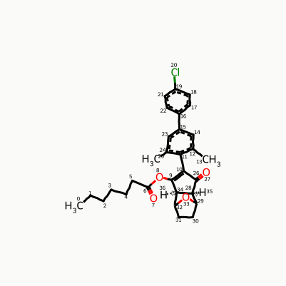 CCCCCCC(=O)OC1=C(c2c(C)cc(-c3ccc(Cl)cc3)cc2C)C(=O)[C@H]2C3CCC(O3)[C@@H]12